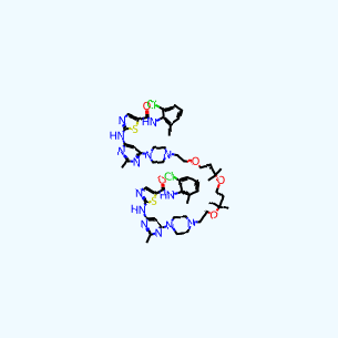 Cc1nc(Nc2ncc(C(=O)Nc3c(C)cccc3Cl)s2)cc(N2CCN(CCOCCC(C)(C)OCCC(C)(C)OCCN3CCN(c4cc(Nc5ncc(C(=O)Nc6c(C)cccc6Cl)s5)nc(C)n4)CC3)CC2)n1